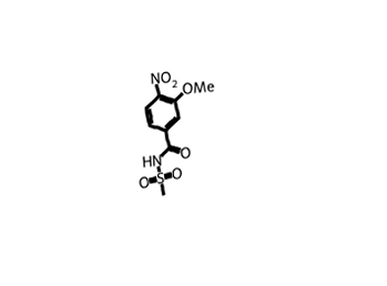 COc1cc(C(=O)NS(C)(=O)=O)ccc1[N+](=O)[O-]